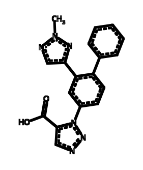 Cn1ncc(-c2cc(-n3nncc3C(=O)O)ccc2-c2ccccc2)n1